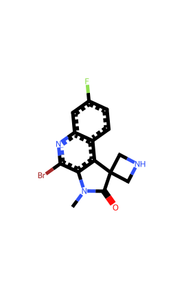 CN1C(=O)C2(CNC2)c2c1c(Br)nc1cc(F)ccc21